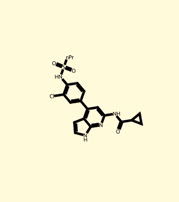 CCCS(=O)(=O)Nc1ccc(-c2cc(NC(=O)C3CC3)nc3[nH]ccc23)cc1Cl